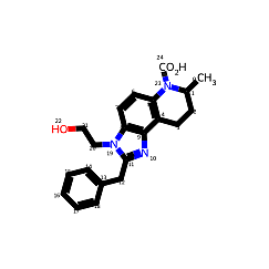 CC1CCc2c(ccc3c2nc(Cc2ccccc2)n3CCO)N1C(=O)O